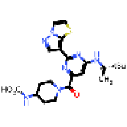 C[C@H](Nc1cc(C(=O)N2CCC(NC(=O)O)CC2)nc(-c2cnn3ccsc23)n1)C(C)(C)C